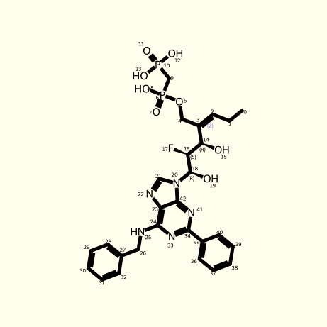 CC/C=C(/COP(=O)(O)CP(=O)(O)O)[C@@H](O)[C@H](F)[C@@H](O)n1cnc2c(NCc3ccccc3)nc(-c3ccccc3)nc21